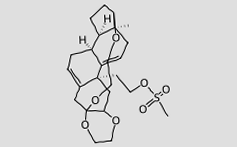 C[C@@]12CC=C3[C@H]4CC=C5CC6(OCCOC6C[C@@]53CCOS(C)(=O)=O)OCCOC1CC[C@H]42